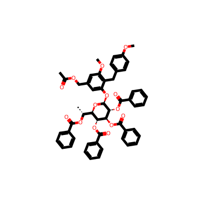 COc1ccc(Cc2c(OC)cc(COC(C)=O)cc2O[C@@H]2O[C@H]([C@@H](C)OC(=O)c3ccccc3)[C@@H](OC(=O)c3ccccc3)[C@H](OC(=O)c3ccccc3)[C@H]2OC(=O)c2ccccc2)cc1